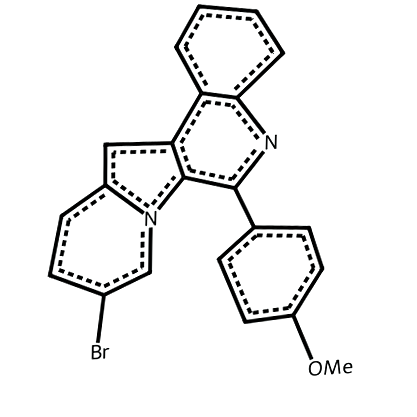 COc1ccc(-c2nc3ccccc3c3cc4ccc(Br)cn4c23)cc1